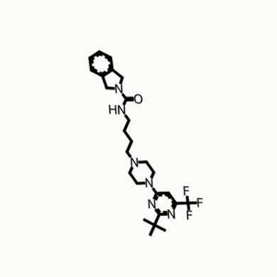 CC(C)(C)c1nc(N2CCN(CCCCNC(=O)N3Cc4ccccc4C3)CC2)cc(C(F)(F)F)n1